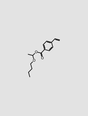 C=Cc1ccc(C(=O)OC(C)OCCCC)cc1